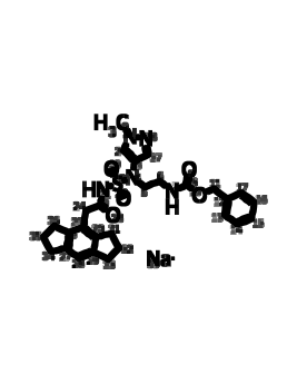 Cn1cc(N(CCNC(=O)OCc2ccccc2)S(=O)(=O)NC(=O)Cc2c3c(cc4c2CCC4)CCC3)cn1.[Na]